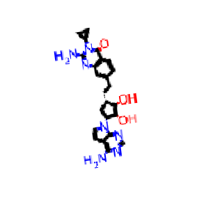 Nc1ncnc2c1ccn2[C@@H]1C[C@H](CCc2ccc3c(=O)n(C4CC4)c(N)nc3c2)[C@@H](O)[C@H]1O